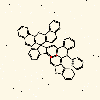 C1=Cc2oc3cccc(N(c4ccccc4)c4ccccc4-c4ccc5c(c4)C4(c6ccccc6-5)c5ccc6ccccc6c5Oc5c4ccc4ccccc54)c3c2CC1